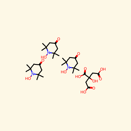 CC1(C)CC(=O)CC(C)(C)N1O.CC1(C)CC(=O)CC(C)(C)N1O.CC1(C)CC(=O)CC(C)(C)N1O.O=C(O)CC(O)(CC(=O)O)C(=O)O